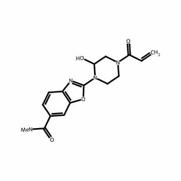 C=CC(=O)N1CCN(c2nc3ccc(C(=O)NC)cc3o2)C(O)C1